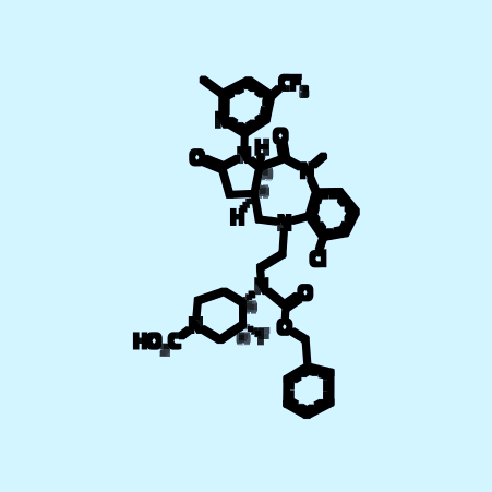 Cc1cc(C(F)(F)F)cc(N2C(=O)C[C@@H]3CN(CCN(C(=O)OCc4ccccc4)[C@H]4CCN(C(=O)O)C[C@H]4F)c4c(Cl)cccc4N(C)C(=O)[C@H]32)n1